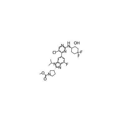 COC(=O)N1CC[C@@H](c2nc3c(F)cc(-c4nc(N[C@@H]5CCC(F)(F)C[C@H]5O)ncc4Cl)cc3n2C(C)C)C1